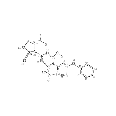 COc1nc(N[C@@H](C)c2ccc(Oc3ccccc3)cc2)nc(N2C(=O)OC[C@@H]2C(C)C)n1